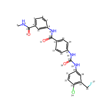 CNC(=O)c1cccc(NC(=O)c2ccc(NC(=O)Nc3ccc(Cl)c(CF)c3)cc2)c1